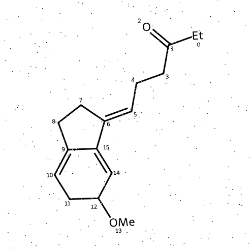 CCC(=O)CC/C=C1\CCC2=CCC(OC)C=C21